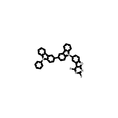 Fc1nc(F)c2c(n1)oc1ccc(-n3c4ccccc4c4cc(-c5ccc6c(c5)c5ccccc5n6-c5ccccc5)ccc43)cc12